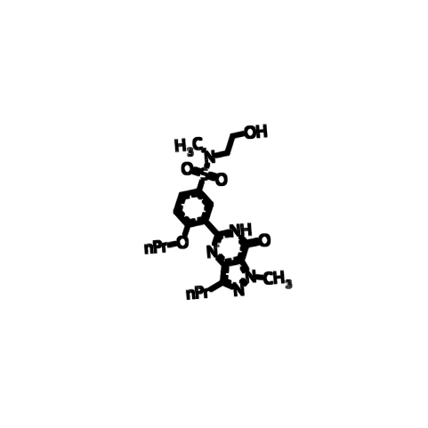 CCCOc1ccc(S(=O)(=O)N(C)CCO)cc1-c1nc2c(CCC)nn(C)c2c(=O)[nH]1